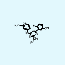 CC(C)Nc1nc(Nc2ccnc(C(F)(F)F)c2)nc(-c2cc(O)ccc2F)n1